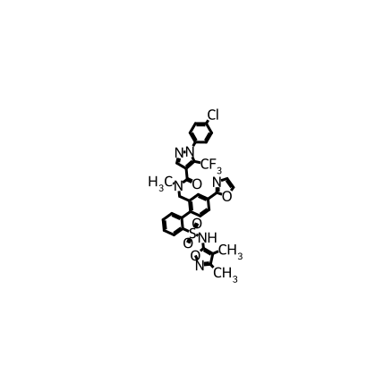 Cc1noc(NS(=O)(=O)c2ccccc2-c2ccc(-c3ncco3)cc2CN(C)C(=O)c2cnn(-c3ccc(Cl)cc3)c2C(F)(F)F)c1C